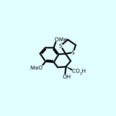 COc1ccc(OC)c2c1C[C@](O)(C(=O)O)CC21SCCS1